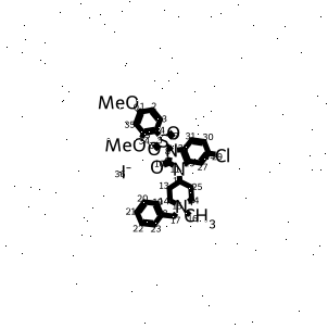 COc1ccc(S(=O)(=O)n2c(=O)n(C3CC[N+](C)(Cc4ccccc4)CC3)c3cc(Cl)ccc32)c(OC)c1.[I-]